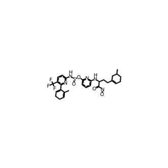 CC1=CCCC=C1c1nc(NS(=O)Oc2cccc(NC(CCC3=CCCC(C)C3)C(=O)N=O)n2)ccc1C(F)(F)F